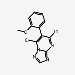 COc1ccccc1-c1c(Cl)nc2ncnn2c1Cl